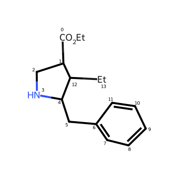 CCOC(=O)C1CNC(Cc2ccccc2)C1CC